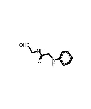 O=[C]CNC(=O)CNc1ccccc1